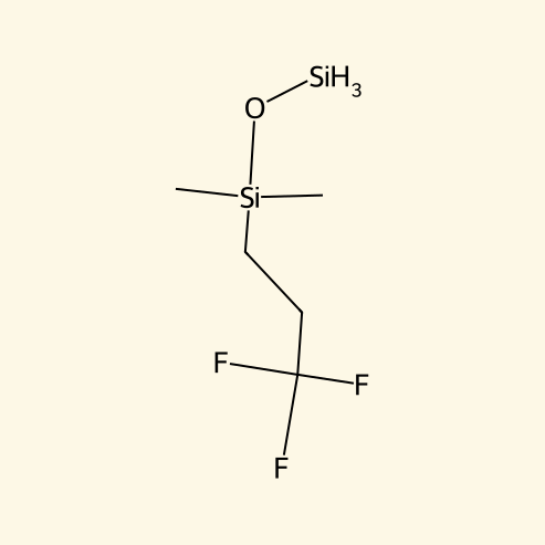 C[Si](C)(CCC(F)(F)F)O[SiH3]